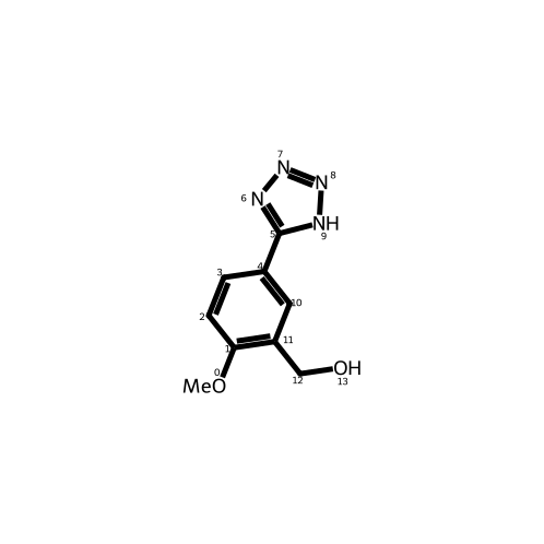 COc1ccc(-c2nnn[nH]2)cc1CO